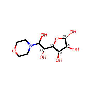 OC([C@@H](O)[C@H]1O[C@H](O)[C@@H](O)[C@H]1O)N1CCOCC1